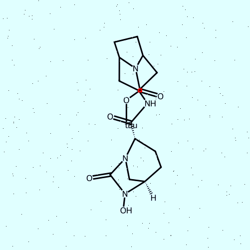 CC(C)(C)OC(=O)N1C2CCC1CC(NC(=O)[C@@H]1CC[C@@H]3CN1C(=O)N3O)C2